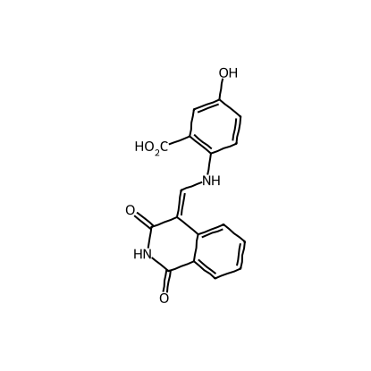 O=C1NC(=O)c2ccccc2C1=CNc1ccc(O)cc1C(=O)O